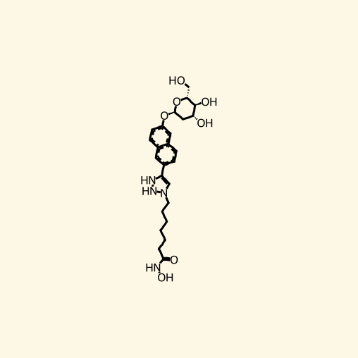 O=C(CCCCCCN1C=C(c2ccc3cc(O[C@@H]4C[C@@H](O)[C@H](O)[C@@H](CO)O4)ccc3c2)NN1)NO